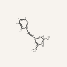 Clc1cc(C#Cc2ccccc2)nc(Cl)n1